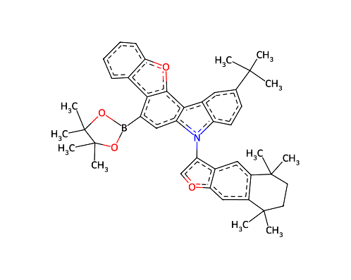 CC(C)(C)c1ccc2c(c1)c1c3oc4ccccc4c3c(B3OC(C)(C)C(C)(C)O3)cc1n2-c1coc2cc3c(cc12)C(C)(C)CCC3(C)C